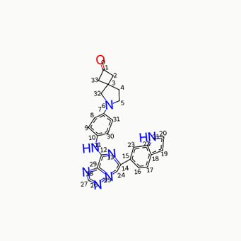 O=C1CC2(CCN(c3ccc(Nc4nc(-c5ccc6cc[nH]c6c5)cn5ncnc45)cc3)C2)C1